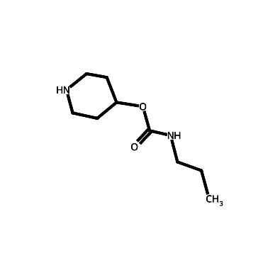 CCCNC(=O)OC1CCNCC1